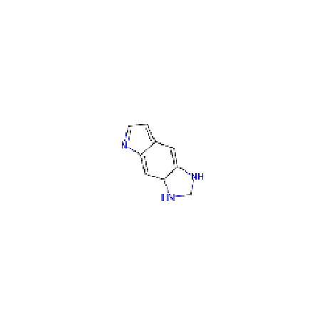 C1=NC2=CC3NCNC3=CC2=C1